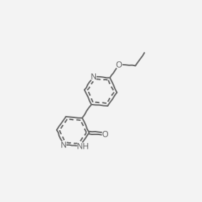 CCOc1ccc(-c2ccn[nH]c2=O)cn1